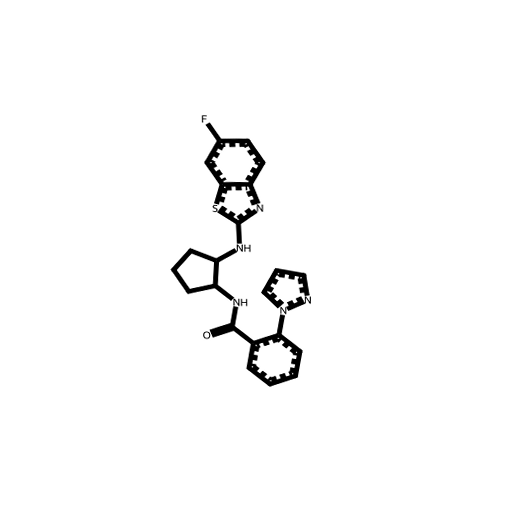 O=C(NC1CCCC1Nc1nc2ccc(F)cc2s1)c1ccccc1-n1cccn1